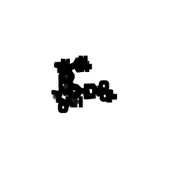 C[C@@H]1CC(=O)Nc2cc(C3=CCN(C(=O)OC(C)(C)C)CC3)cc(-c3ccc4c(c3)c(-c3cnn(C)c3)nn4C)c2N1